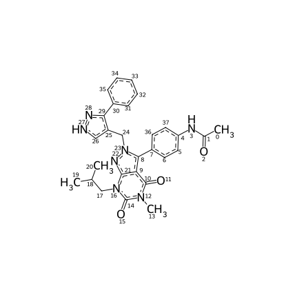 CC(=O)Nc1ccc(-c2c3c(=O)n(C)c(=O)n(CC(C)C)c3nn2Cc2c[nH]nc2-c2ccccc2)cc1